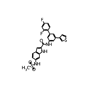 CS(=O)(=O)Nc1ccc2cc(C(=O)Nc3cc(-c4ccsc4)cc(-c4ccc(F)cc4F)c3)[nH]c2c1